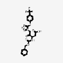 O=C(O)CC(NC(=O)OCc1ccccc1)C(=O)Cn1nnnc1Sc1ccc(C(F)(F)F)cc1